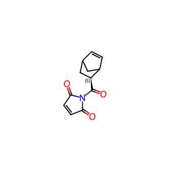 O=C1C=CC(=O)N1C(=O)[C@H]1CC2C=CC1C2